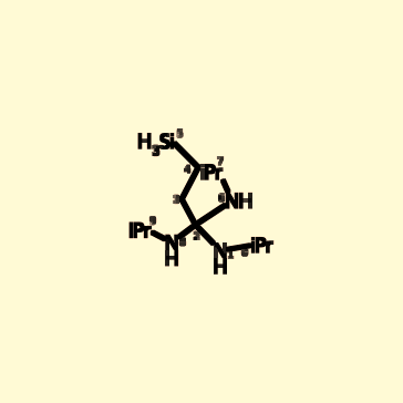 CC(C)NC(CC[SiH3])(NC(C)C)NC(C)C